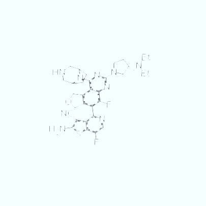 CCN(CC)[C@H]1CCN(c2nc(N3C4CCC3CNC4)c3c4c(c(-c5ncc(F)c6sc(N)c(C#N)c56)c(F)c3n2)COC4)C1